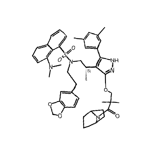 Cc1cc(C)cc(-c2[nH]nc(OCC(C)(C)C(=O)N3C4CCC3CC4)c2[C@H](C)CN(CCc2ccc3c(c2)OCO3)S(=O)(=O)c2cccc3cccc(N(C)C)c23)c1